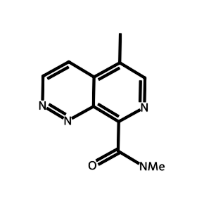 CNC(=O)c1ncc(C)c2ccnnc12